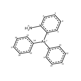 Nc1ccccc1[As](c1ccccc1)c1ccccc1